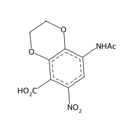 CC(=O)Nc1cc([N+](=O)[O-])c(C(=O)O)c2c1OCCO2